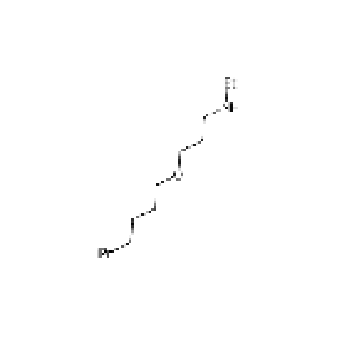 CCNCCCOCCCCC(C)C